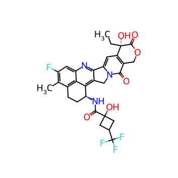 CC[C@@]1(O)C(=O)OCc2c1cc1n(c2=O)Cc2c-1nc1cc(F)c(C)c3c1c2[C@@H](NC(=O)C1(O)CC(C(F)(F)F)C1)CC3